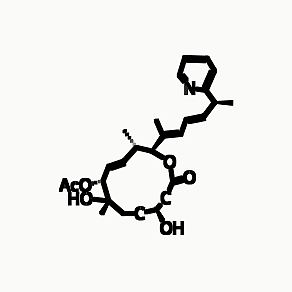 CC(=O)O[C@@H]1/C=C/[C@H](C)[C@@H](/C(C)=C/C=C/[C@H](C)c2ccccn2)OC(=O)C[C@@H](O)CC[C@]1(C)O